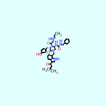 C=CCNCC(=O)N1[C@@H](NC(=O)NCc2ccccc2)CN(Cc2cccc3c(C(=O)C=C(C)C)c[nH]c23)C(=O)[C@@H]1Cc1ccc(O)cc1